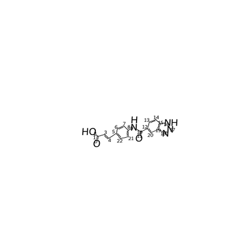 O=C(O)C=Cc1ccc(NC(=O)c2ccc3[nH]nnc3c2)cc1